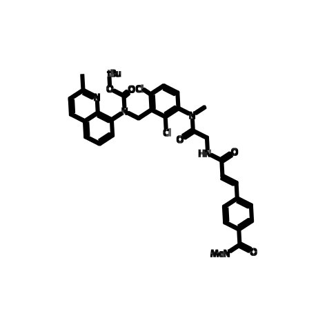 CNC(=O)c1ccc(C=CC(=O)NCC(=O)N(C)c2ccc(Cl)c(CN(C(=O)OC(C)(C)C)c3cccc4ccc(C)nc34)c2Cl)cc1